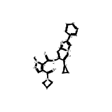 Cn1ncc(C(=O)N2CCC2)c1C(=O)Nc1cc2nc(-c3ccccc3)cn2cc1C1CC1